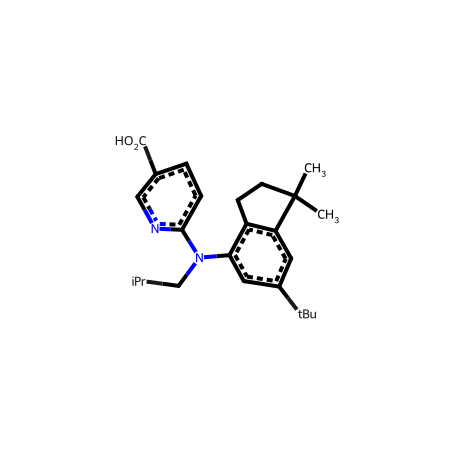 CC(C)CN(c1ccc(C(=O)O)cn1)c1cc(C(C)(C)C)cc2c1CCC2(C)C